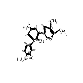 Cc1cc(-c2cnc(C)c(C)c2)c(O)c(-c2ccc(N)c(Cl)c2)c1